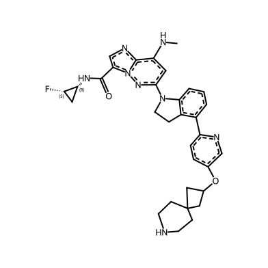 CNc1cc(N2CCc3c(-c4ccc(OC5CC6(CCNCC6)C5)cn4)cccc32)nn2c(C(=O)N[C@@H]3C[C@@H]3F)cnc12